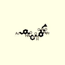 CC(=O)/C=C/c1cccc(C(=O)N[C@@H]2CCCN(C(=O)Nc3ccc4c(c3)c(=O)n(CC3CC3)c(=O)n4C(C)C)C2)c1